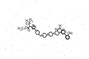 CCOC(=O)C(c1cc(N2CCC(CN3CCC(N4CCC(N5CCN6c7cc(-c8ccccc8O)nnc7NC[C@H]6C5)CC4)CC3)CC2)no1)C(C)C